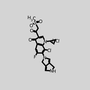 CS(=O)(=O)CC(=O)c1cn(C2CC2)c2c(Cl)c(N3C=C4CNC=C4C3)c(F)cc2c1=O.Cl